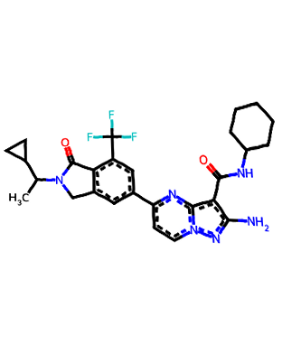 CC(C1CC1)N1Cc2cc(-c3ccn4nc(N)c(C(=O)NC5CCCCC5)c4n3)cc(C(F)(F)F)c2C1=O